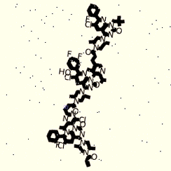 C=CC(=O)N1CC(C)N(c2nc(=O)n(-c3c(Cl)nc(/C=C\C(=O)N4CC(C)N(c5nc(=O)n(-c6c(C(C)C)ncc(CCC(=O)N7CC(C)N(c8nc(=O)n(CC(C)(C)C)c9nc(-c%10ccccc%10F)c(Cl)cc89)CC7C)c6C)c6nc(-c7cc(F)c(F)cc7O)c(Cl)cc56)CC4C)nc3C(C)C)c3nc(-c4ccccc4F)c(Cl)cc23)CC1C